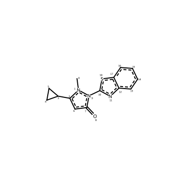 Cn1c(C2CC2)cc(=O)n1-c1nc2ccccc2s1